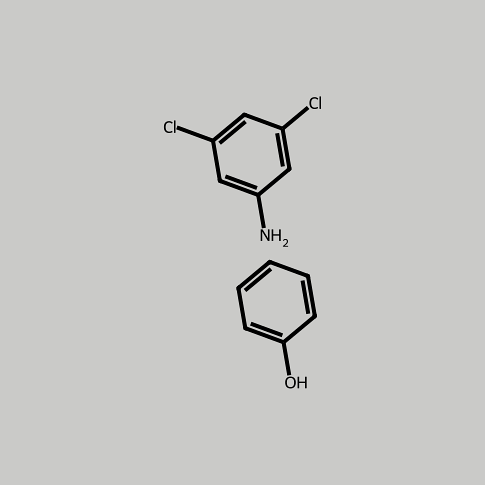 Nc1cc(Cl)cc(Cl)c1.Oc1ccccc1